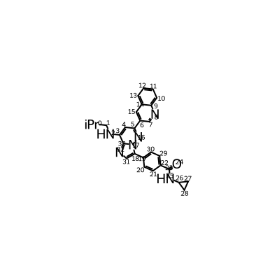 CC(C)CNc1cc(-c2cnc3ccccc3c2)nn2c(-c3ccc(C(=O)NC4CC4)cc3)cnc12